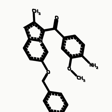 COc1cc(C(=O)c2c(C)[c]c3ccc(OCc4ccccc4)cn23)ccc1N